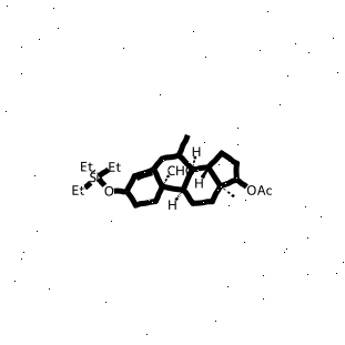 CC[Si](CC)(CC)OC1C=C2CC(C)[C@@H]3[C@@H](CC[C@]4(C)C(OC(C)=O)CC[C@@H]34)[C@@]2(C=O)CC1